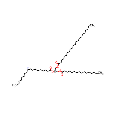 CCCCCCCC/C=C\CCCCCCCC(=O)O[C@H](COC(=O)CCCCCCCCCCCCCCC)COC(=O)CCCCCCCCCCCCCCCCCCCCC